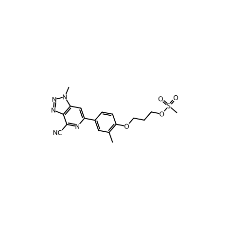 Cc1cc(-c2cc3c(nnn3C)c(C#N)n2)ccc1OCCCOS(C)(=O)=O